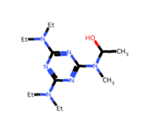 CCN(CC)c1nc(N(CC)CC)nc(N(C)C(C)O)n1